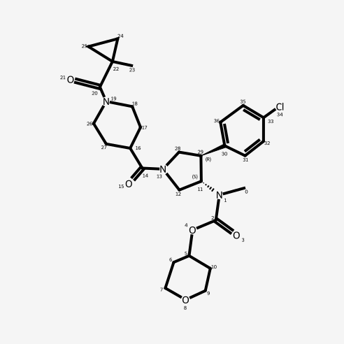 CN(C(=O)OC1CCOCC1)[C@@H]1CN(C(=O)C2CCN(C(=O)C3(C)CC3)CC2)C[C@H]1c1ccc(Cl)cc1